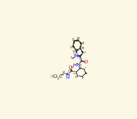 Cn1c(C(=O)N[C@H]2CCCC[C@H]2C(=O)NCC(=O)O)cc2ccccc21